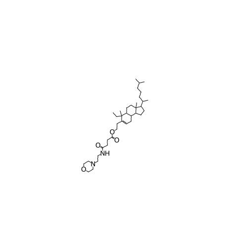 CCC1(C)C(CCOC(=O)CCC(=O)NCCN2CCOCC2)=CCC2C1CCC1(C)C(C(C)CCCC(C)C)CCC21